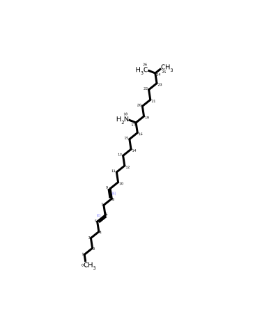 CCCCC/C=C/C/C=C/CCCCCCCC(N)CCCCCC(C)C